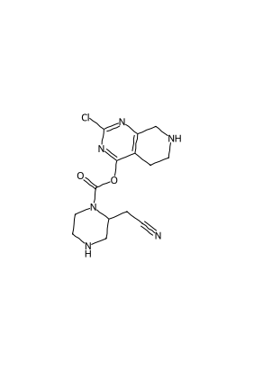 N#CCC1CNCCN1C(=O)Oc1nc(Cl)nc2c1CCNC2